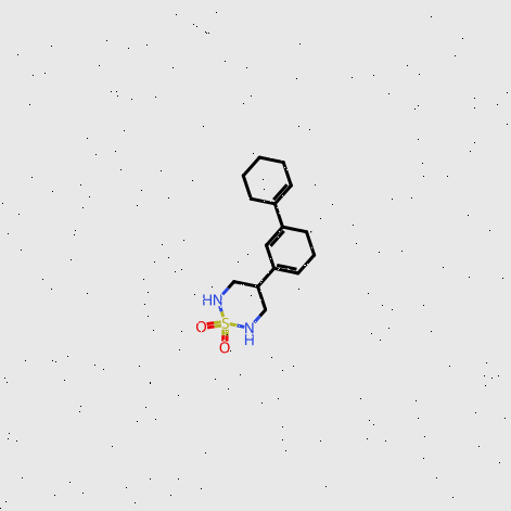 O=S1(=O)NCC(C2=CC[CH]C(C3=CCCCC3)=C2)CN1